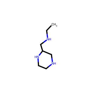 CCNCC1CNCCN1